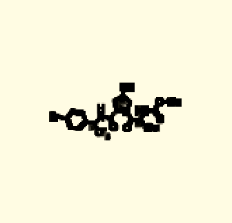 CC(C)(C)OC(=O)N[C@H](C(=O)N1C[C@H](O)C[C@H]1C(=O)N[C@H](c1ccc(Br)cc1)C(F)(F)F)C(C)(C)C